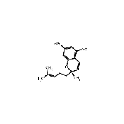 CCCc1cc(N=O)c2c(c1)O[C@@](C)(CCC=C(C)C)C=C2